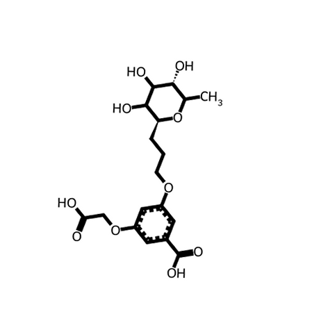 CC1O[C@@H](CCCOc2cc(OCC(=O)O)cc(C(=O)O)c2)C(O)C(O)[C@@H]1O